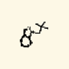 CC(C)(C)Cn1ncc2ccccc21